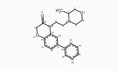 CC1COCCN1CCN1C(=O)COc2ccc(-c3cnccn3)cc21